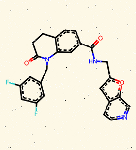 O=C(NCc1cc2ccncc2o1)c1ccc2c(c1)N(Cc1cc(F)cc(F)c1)C(=O)CC2